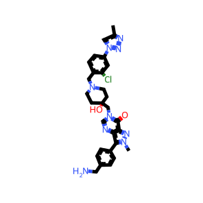 Cc1cn(-c2ccc(CN3CCC(O)(Cn4cnc5c(-c6ccc(CN)cc6)n(C)nc5c4=O)CC3)c(Cl)c2)nn1